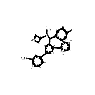 CC(=O)Nc1cc(-c2cc(C(c3ccc(I)cc3)N(C)C3CNC3)c(-c3nnc[nH]3)s2)ccn1